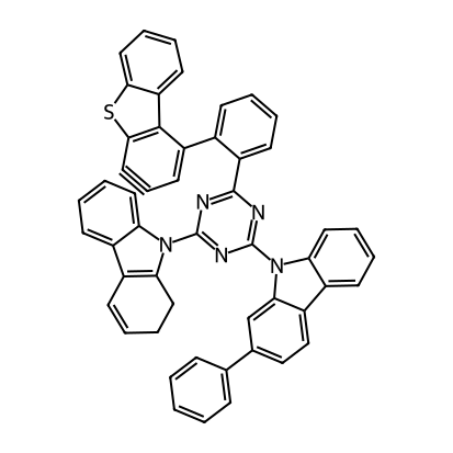 c1cc(-c2ccccc2-c2nc(-n3c4c(c5ccccc53)C=CCC4)nc(-n3c4ccccc4c4ccc(-c5ccccc5)cc43)n2)c2c(c#1)sc1ccccc12